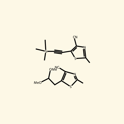 COC(Cc1sc(C)nc1C#N)OC.Cc1nc(C#N)c(C#C[Si](C)(C)C)s1